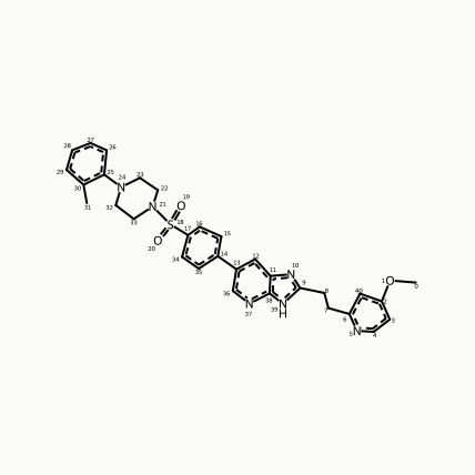 COc1ccnc(CCc2nc3cc(-c4ccc(S(=O)(=O)N5CCN(c6ccccc6C)CC5)cc4)cnc3[nH]2)c1